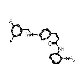 Nc1ccccc1NC(=O)/C=C\c1ccc(NCc2cc(F)cc(F)c2)nc1